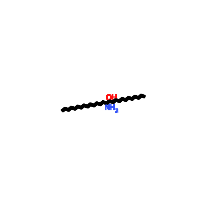 CCCCCCCCCCCCCCC(N)C(O)CCCCCCCCCCC